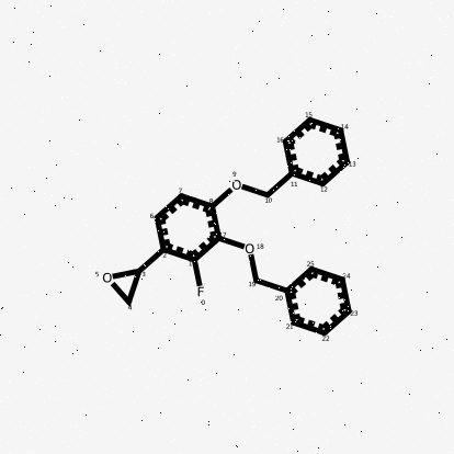 Fc1c(C2CO2)ccc(OCc2ccccc2)c1OCc1ccccc1